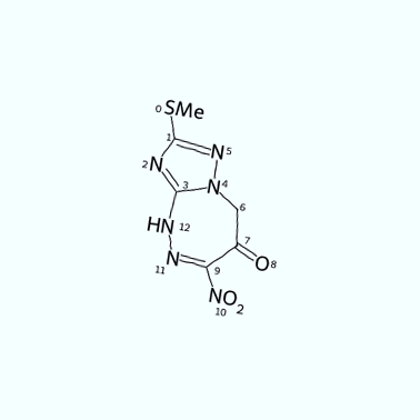 CSc1nc2n(n1)CC(=O)C([N+](=O)[O-])=NN2